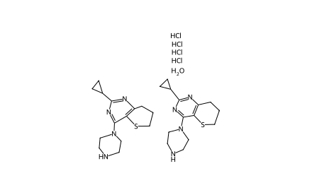 C1CSc2c(nc(C3CC3)nc2N2CCNCC2)C1.C1CSc2c(nc(C3CC3)nc2N2CCNCC2)C1.Cl.Cl.Cl.Cl.O